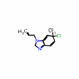 C=CCN1CN=C2C=CC(Cl)(C(F)(F)F)C=C21